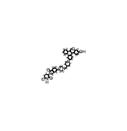 O=C1CC[C@H](N2Cc3cc(N4CCN(CC5CCN(c6ccc(C7c8ccc(O)cc8OC[C@@H]7c7ccccc7)cc6)CC5)CC4)ccc3C2=O)C(=O)N1